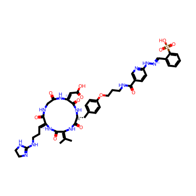 CC(C)=C1NC(=O)[C@@H](Cc2ccc(OCCCNC(=O)c3ccc(N/N=C/c4ccccc4S(=O)(=O)O)nc3)cc2)NC(=O)/C(=C\C(=O)O)NC(=O)CNC(=O)/C(=C/CCNC2=NCCN2)NC1=O